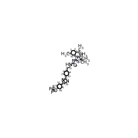 Cc1ccc(C(C)C)c(N2C(=O)C(C)(C)S/C2=N\C(=O)NCCc2ccc(-c3ncn(-c4ccc(OC(F)(F)F)cc4)n3)cc2)c1